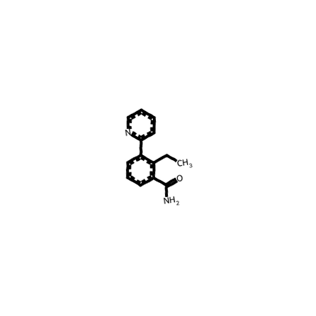 CCc1c(C(N)=O)cccc1-c1ccccn1